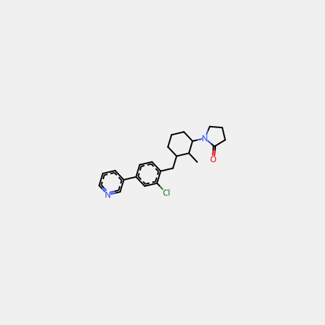 CC1C(Cc2ccc(-c3cccnc3)cc2Cl)CCCC1N1CCCC1=O